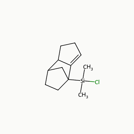 C[Si](C)(Cl)C12CCC(C1)C1CCC=C12